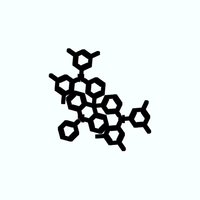 Cc1cc(C)cc(N(c2cc(C)cc(C)c2)c2cccc(C3(c4cccc(N(c5cc(C)cc(C)c5)c5cc(C)cc(C)c5)c4)c4ccccc4N(c4ccccc4)c4ccccc43)c2)c1